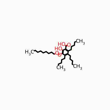 CCCCCCCCCOOc1c(O)c(C(=O)O)c(CCCCC)c(CCCCC)c1CCCCC